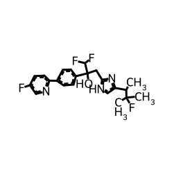 CC(c1c[nH]c(CC(O)(c2ccc(-c3ccc(F)cn3)cc2)C(F)F)n1)C(C)(C)F